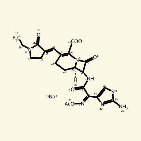 CC(=O)O/N=C(\C(=O)N[C@@H]1C(=O)N2C(C(=O)[O-])=C(/C=C3\CCN(CC(F)(F)F)C3=O)CC[C@H]12)c1csc(N)n1.[Na+]